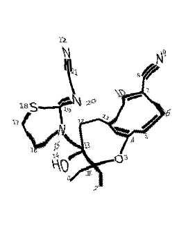 CC1(C)Oc2ccc(C#N)cc2CC1(O)N1CCSC1=NC#N